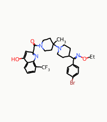 CCON=C(c1ccc(Br)cc1)C1CCN(C2(C)CCN(C(=O)c3cc(O)c4cccc(C(F)(F)F)c4n3)CC2)CC1